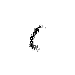 CCCc1cnc(N2CCN(c3nc4ccc(C5=CCN(S(=O)(=O)CC(C)C)CC5)cc4s3)CC2)nc1